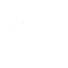 CCC1(C(=O)N2CCC3(CCn4nc(-c5cnc6ccccc6c5)cc43)C2)CCC1